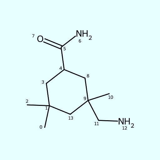 CC1(C)CC(C(N)=O)CC(C)(CN)C1